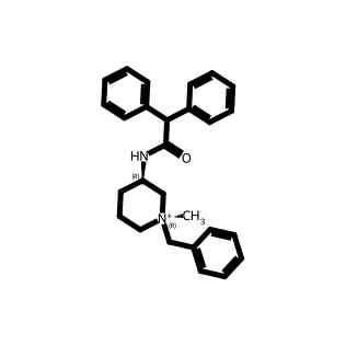 C[N@+]1(Cc2ccccc2)CCC[C@@H](NC(=O)C(c2ccccc2)c2ccccc2)C1